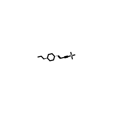 CCC[C@H]1CC[C@H](C=CC#C[Si](C)(C)C)CC1